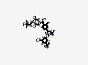 Cc1cc(/C(CC(F)(F)F)=N/Oc2cc(Cl)cc(C(F)(F)F)c2)ccc1C(=O)N1CC(=O)N(CCC(F)(F)F)C(=O)C1